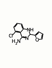 NC1=NC(c2ccco2)Nc2cccc(Cl)c21